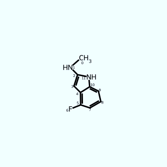 CNc1cc2c(F)cccc2[nH]1